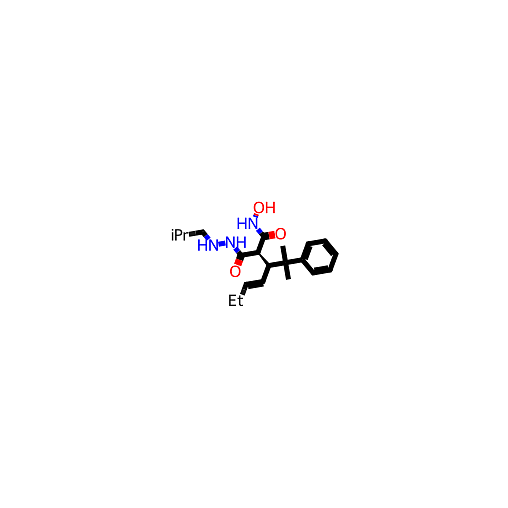 CCC=CC([C@H](C(=O)NO)C(=O)NNCC(C)C)C(C)(C)c1ccccc1